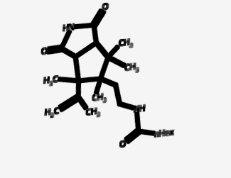 C=C(C)C1(C)C2C(=O)NC(=O)C2C(C)(C)C1(C)CCNC(=O)CCCCCC